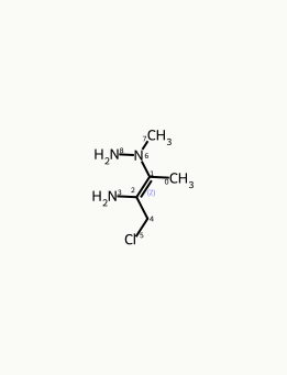 C/C(=C(/N)CCl)N(C)N